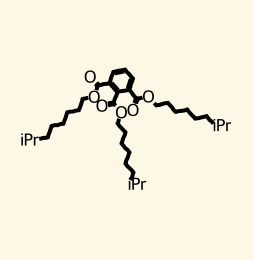 CC(C)CCCCCCOC(=O)c1cccc(C(=O)OCCCCCCC(C)C)c1C(=O)OCCCCCCC(C)C